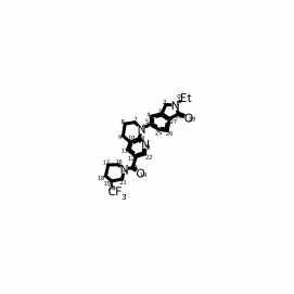 CCN1Cc2cc(N3CCCc4cc(C(=O)N5CCC[C@H](C(F)(F)F)C5)cnc43)ccc2C1=O